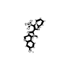 CCS(=O)(=O)c1c(-c2nc3cnc4cc(C(F)(F)F)ccc4c3n2C)nc2ccccn12